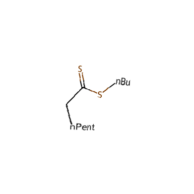 CCCCCCC(=S)SCCCC